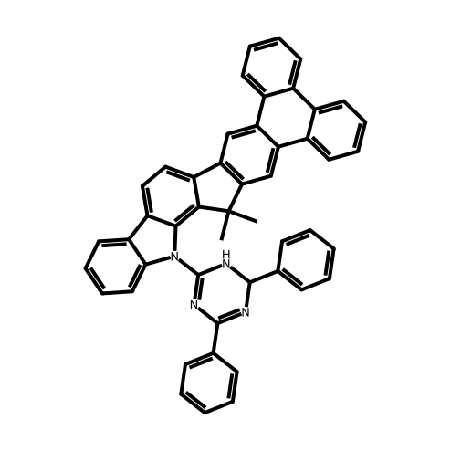 CC1(C)c2cc3c4ccccc4c4ccccc4c3cc2-c2ccc3c4ccccc4n(C4=NC(c5ccccc5)=NC(c5ccccc5)N4)c3c21